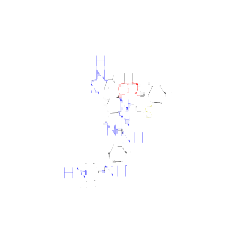 Cc1[nH]cnc1-c1cc2cnc(Nc3ccc(NC4CCNCC4)cc3)nc2n(C2CSc3ccccc3C2=O)c1=O